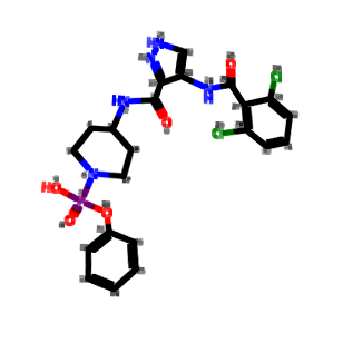 O=C(NC1CCN(P(=O)(O)Oc2ccccc2)CC1)c1n[nH]cc1NC(=O)c1c(Cl)cccc1Cl